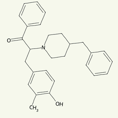 Cc1cc(CC(C(=O)c2ccccc2)N2CCC(Cc3ccccc3)CC2)ccc1O